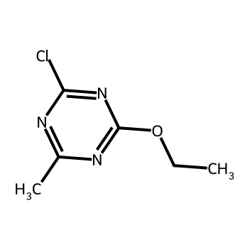 CCOc1nc(C)nc(Cl)n1